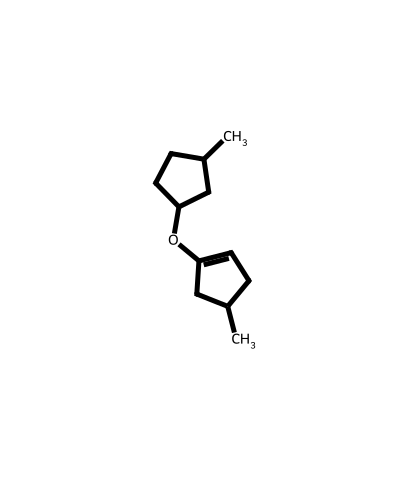 CC1CC=C(OC2CCC(C)C2)C1